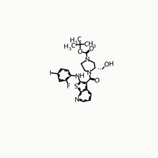 CC(C)(C)OC(=O)N1CCN(C(=O)c2c(Nc3ccc(I)cc3F)sc3ncccc23)[C@@H](CO)C1